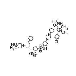 CNC(=O)c1c(-c2cccc(N3CCN(c4ccc(NS(=O)(=O)c5ccc(C[C@H](CCN6CCC(C)(O)CC6)CSc6ccccc6)c([N+](=O)[O-])c5)cc4)CC3)c2)c(-c2ccc(Cl)cc2)n(C)c1C